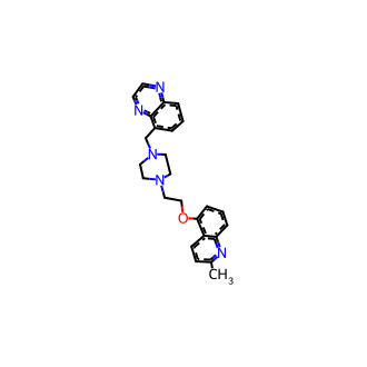 Cc1ccc2c(OCCN3CCN(Cc4cccc5nccnc45)CC3)cccc2n1